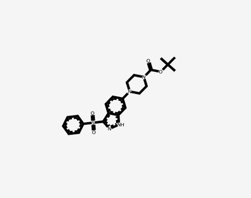 CC(C)(C)OC(=O)N1CCN(c2ccc3c(S(=O)(=O)c4ccccc4)n[nH]c3c2)CC1